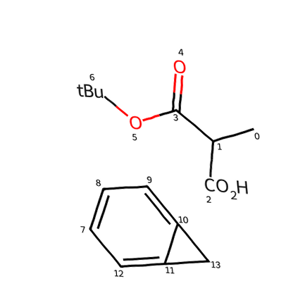 CC(C(=O)O)C(=O)OC(C)(C)C.c1ccc2c(c1)C2